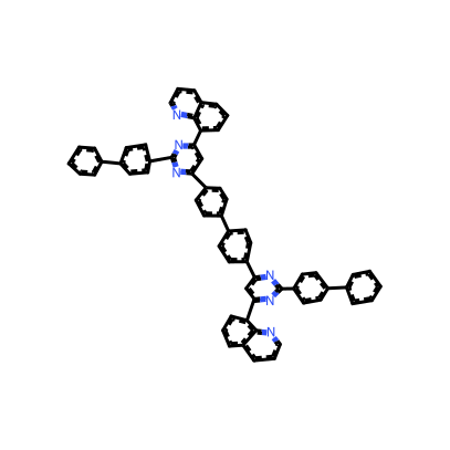 c1ccc(-c2ccc(-c3nc(-c4ccc(-c5ccc(-c6cc(-c7cccc8cccnc78)nc(-c7ccc(-c8ccccc8)cc7)n6)cc5)cc4)cc(-c4cccc5cccnc45)n3)cc2)cc1